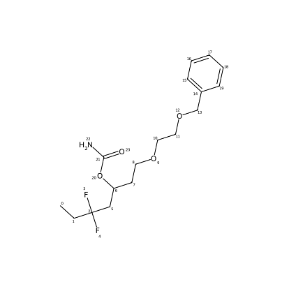 CCC(F)(F)CC(CCOCCOCc1ccccc1)OC(N)=O